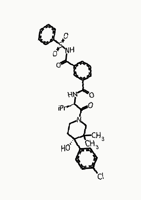 CC(C)[C@@H](NC(=O)c1cccc(C(=O)NS(=O)(=O)c2ccccc2)c1)C(=O)N1CC[C@](O)(c2ccc(Cl)cc2)C(C)(C)C1